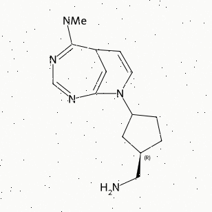 CNC1=NC=NC2=CC1C=CN2C1CC[C@@H](CN)C1